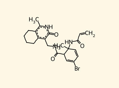 C=CC(=O)NC1(C)C=CC(Br)=CC1C(=O)NCc1c2c(c(C)[nH]c1=O)CCCC2